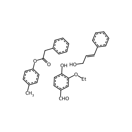 CCOc1cc(C=O)ccc1O.Cc1ccc(OC(=O)Cc2ccccc2)cc1.OC/C=C/c1ccccc1